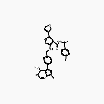 C[C@H](NC(=O)c1cc(C2=CCOC2)cnc1NCc1ccc(-c2cn(C)c3c2C(N)NC=N3)cc1)c1ccc(F)cc1